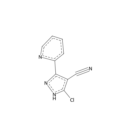 N#Cc1c(-c2ccccn2)n[nH]c1Cl